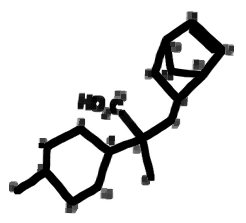 CC1CCC(C(C)(CC2CC3C=CC2C3)C(=O)O)CC1